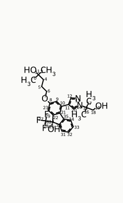 CC(C)(O)CCCOc1cc(-c2cnn(C(C)(C)CO)c2)c2c(c1)[C@@](O)(C(F)(F)F)c1ccccc1-2